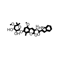 COc1cc(O[C@@H]2OC(C)(C)[C@H](OC)[C@@H](O)[C@@H]2O)c(C)c2oc(=O)c(NC(=O)c3cc4ccccc4[nH]3)cc12